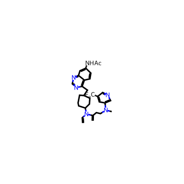 C=CN(C(=C)CCN(C)c1cncc(C(F)(F)F)c1)C1CCCC(Cc2ncnc3cc(NC(C)=O)ccc23)CC1